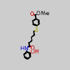 COC(=O)c1ccc(SCCCCCC(=O)Nc2ccccc2O)cc1